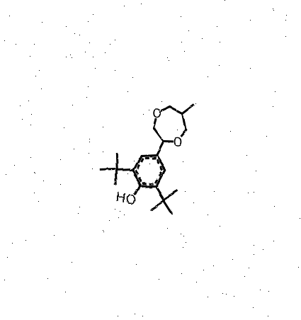 CC1COCC(c2cc(C(C)(C)C)c(O)c(C(C)(C)C)c2)OC1